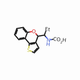 CCC(NC(=O)O)C1Oc2ccccc2-c2sccc21